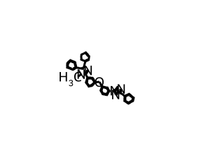 Cn1c(-c2cccc(Oc3cccc(-n4cnc(-c5ccccc5)n4)c3)c2)nc(C2=CC=CCC2)c1-c1ccccc1